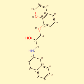 OC(CNC1CCc2ccccc2C1)COc1cccc2c1OCC=C2